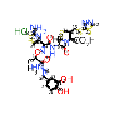 CC(ON=C(C(=O)NC1C(=O)N2C(C(=O)O)=C(CSc3nncs3)CS[C@@H]12)c1csc(N)n1)C(=O)NN=Cc1ccc(O)c(O)c1.Cl